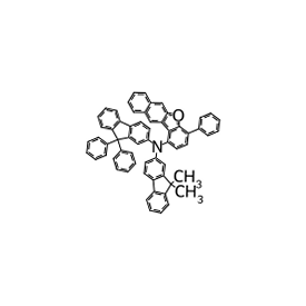 CC1(C)c2ccccc2-c2ccc(N(c3ccc4c(c3)C(c3ccccc3)(c3ccccc3)c3ccccc3-4)c3ccc(-c4ccccc4)c4oc5cc6ccccc6cc5c34)cc21